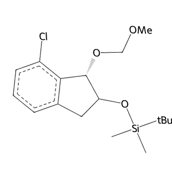 COCO[C@H]1c2c(Cl)cccc2CC1O[Si](C)(C)C(C)(C)C